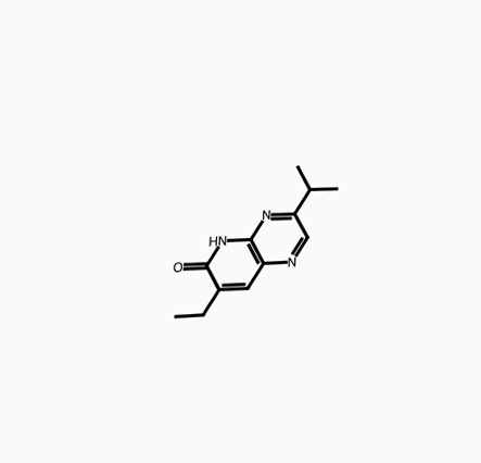 CCc1cc2ncc(C(C)C)nc2[nH]c1=O